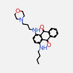 CCCCNc1ccc(NCCCN2CCOCC2)c2c1C(=O)c1ccccc1C2=O